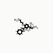 CCCCOc1ccc(C(C)(C)CC)cc1-n1nc2c(n1)CC=CC=C2